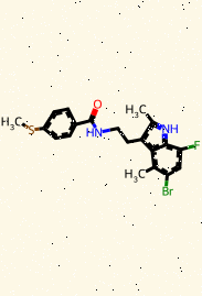 CSc1ccc(C(=O)NCCc2c(C)[nH]c3c(F)cc(Br)c(C)c23)cc1